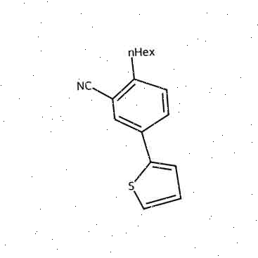 CCCCCCc1ccc(-c2cccs2)cc1C#N